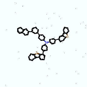 c1cc(-c2ccc(N(c3ccc(-c4ccc5sc6ccccc6c5c4)cc3)c3ccc(-c4cccc5c4sc4ccccc45)cc3)cc2)cc(-c2ccc3ccccc3c2)c1